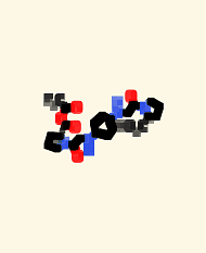 O=C(O)[C@H]1CCCN1C(=O)CNc1ccc(NCC(=O)N2CCC[C@@H]2C(=O)OC(=O)C(F)(F)F)cc1